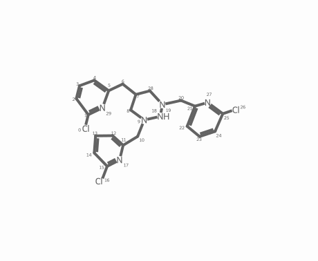 Clc1cccc(CC2CN(Cc3cccc(Cl)n3)NN(Cc3cccc(Cl)n3)C2)n1